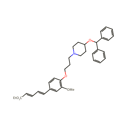 CCOC(=O)/C=C/C=C/c1ccc(OCCCN2CCC(OC(c3ccccc3)c3ccccc3)CC2)c(OC)c1